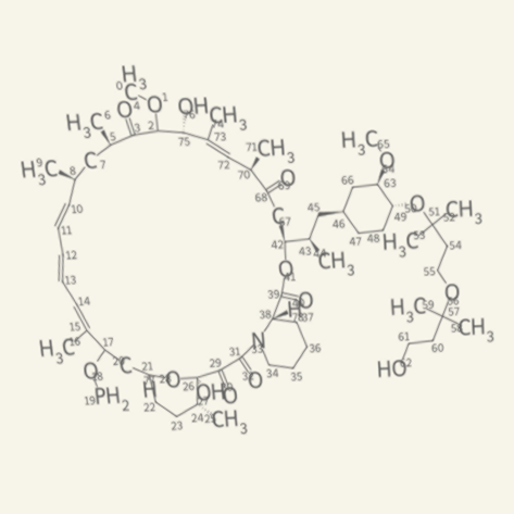 COC1C(=O)[C@H](C)C[C@H](C)/C=C/C=C/C=C(\C)C(OP)C[C@@H]2CC[C@@H](C)[C@@](O)(O2)C(=O)C(=O)N2CCCC[C@H]2C(=O)O[C@H]([C@H](C)C[C@@H]2CC[C@@H](OC(C)(C)CCOC(C)(C)CCO)[C@H](OC)C2)CC(=O)[C@H](C)/C=C(\C)[C@H]1O